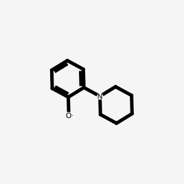 [O]c1ccccc1N1CCCCC1